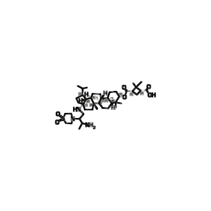 CC(N)C(CN[C@]12CC[C@@H](C(C)C)[C@@H]1[C@H]1CC[C@@H]3[C@@]4(C)CC[C@H](OC(=O)[C@H]5C[C@@H](C(=O)O)C5(C)C)C(C)(C)[C@@H]4CC[C@@]3(C)[C@]1(C)CC2)N1CCS(=O)(=O)CC1